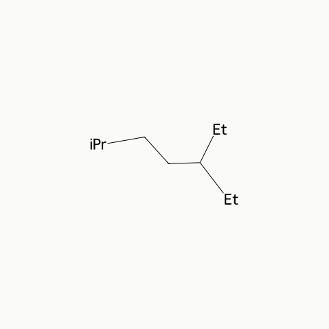 CCC(CC)CCC(C)C